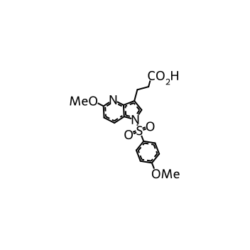 COc1ccc(S(=O)(=O)n2cc(CCC(=O)O)c3nc(OC)ccc32)cc1